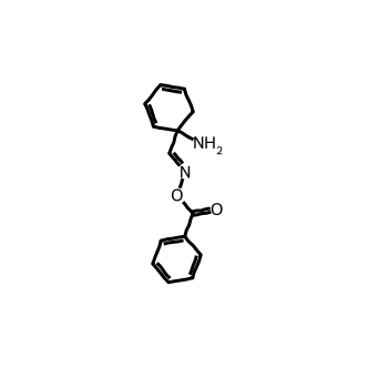 NC1(/C=N/OC(=O)c2ccccc2)C=CC=CC1